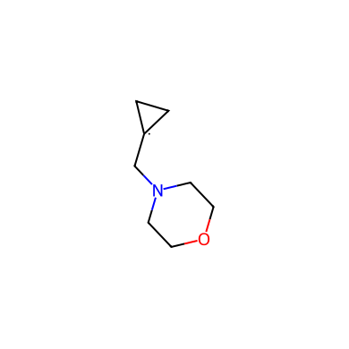 C1CN(C[C]2CC2)CCO1